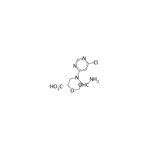 NC=O.O=C(O)[C@@H]1CN(c2cc(Cl)ncn2)CCO1